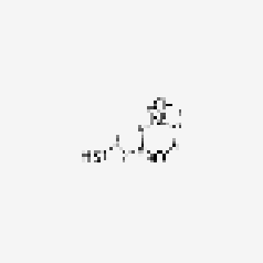 CN1CCOC(CCS)C1